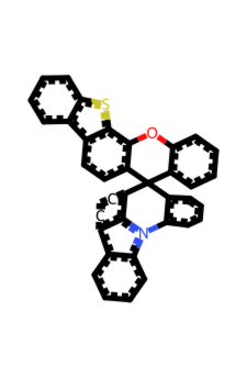 c1ccc2c(c1)Oc1c(ccc3c1sc1ccccc13)C21c2ccccc2-n2c3ccccc3c3cccc1c32